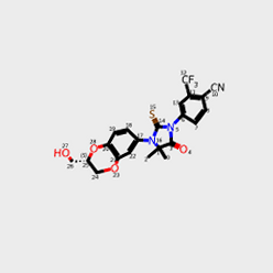 CC1(C)C(=O)N(c2ccc(C#N)c(C(F)(F)F)c2)C(=S)N1c1ccc2c(c1)OC[C@H](CO)O2